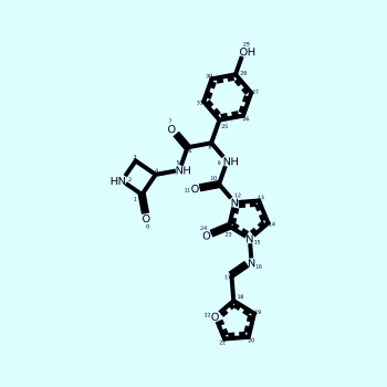 O=C1NCC1NC(=O)C(NC(=O)n1ccn(N=Cc2ccco2)c1=O)c1ccc(O)cc1